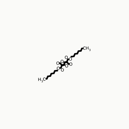 CCCCCCCCOC(=O)C1=C2OC(=O)C(C(=O)OCCCCCCCC)=C2OC1=O